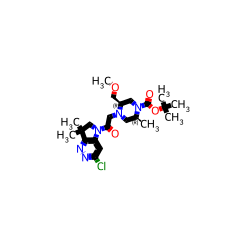 COC[C@H]1CN(C(=O)OC(C)(C)C)[C@H](C)CN1CC(=O)N1CC(C)(C)c2nnc(Cl)cc21